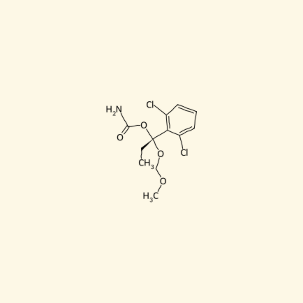 CC[C@@](OCOC)(OC(N)=O)c1c(Cl)cccc1Cl